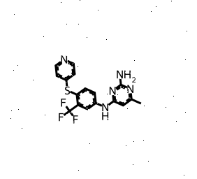 Cc1cc(Nc2ccc(Sc3ccncc3)c(C(F)(F)F)c2)nc(N)n1